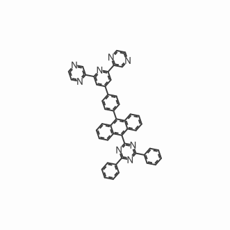 c1ccc(-c2nc(-c3ccccc3)nc(-c3c4ccccc4c(-c4ccc(-c5cc(-c6cnccn6)nc(-c6cnccn6)c5)cc4)c4ccccc34)n2)cc1